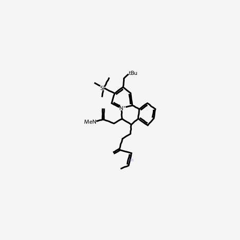 C=C(/C=C\C)CCC1c2ccccc2-c2cc(CC(C)(C)C)c([Si](C)(C)C)c[n+]2C1CC(=C)NC